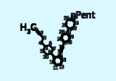 CC#CCCC1CCC(c2ccccc2C#Cc2ccc(C3CCC(CCCCC)CC3)cc2)CC1